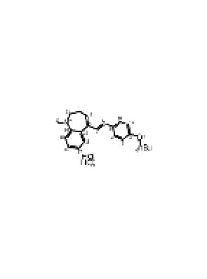 CCCCOc1ccc(C=CC2=NCCN(C)c3ccccc32)cc1.Cl.Cl